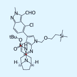 Cn1nc2ccc(-c3cn(COCC[Si](C)(C)C)c4nc(N5[C@@H]6CC[C@H]5C[C@@H](NC(=O)OC(C)(C)C)C6)cnc34)c(Cl)c2c1C=O